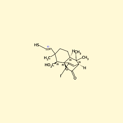 CC1(/C=C/S)CC[C@H]2C(C)(C)[C@@H]3C=C(I)[C@]2(OC3=O)[C@H]1C(=O)O